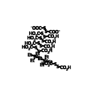 CC[N+](CC)(CC)CC.CC[N+](CC)(CC)CC.O=C(O)SSC(=O)O.O=C(O)SSC(=O)O.O=C(O)SSC(=O)O.O=C(O)SSC(=O)O.O=C(O)SSC(=O)O.O=C([O-])SSC(=O)[O-]